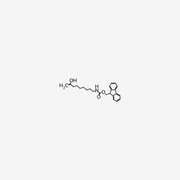 C=C(O)CCCCCCCNC(=O)OCC1c2ccccc2-c2ccccc21